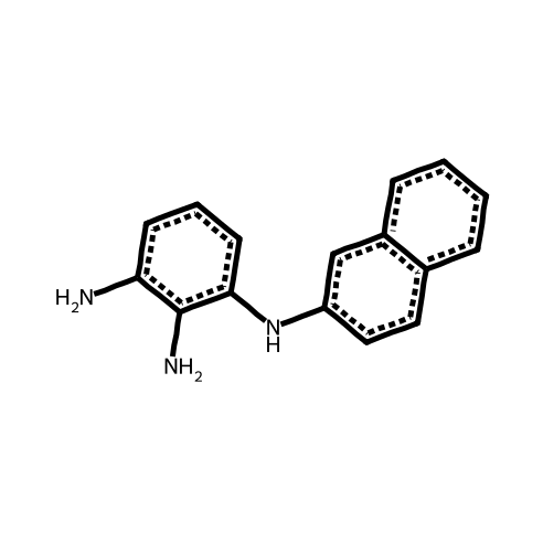 Nc1cccc(Nc2ccc3ccccc3c2)c1N